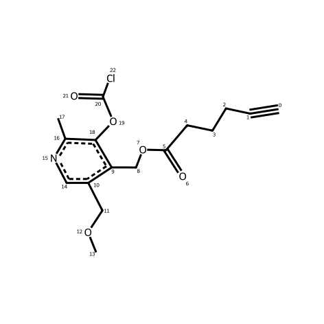 C#CCCCC(=O)OCc1c(COC)cnc(C)c1OC(=O)Cl